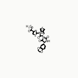 COC(=O)c1csc(NC(=O)[C@H](Cc2ccsc2)N2C(=O)N[C@H](c3ccc4c(c3)OCCO4)C2=O)n1